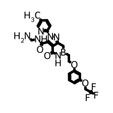 Cc1ccc(-n2nc3c(c2C(=O)NCN)C(=O)NB(CCOc2cccc(OCC(F)(F)F)c2)C3)nc1